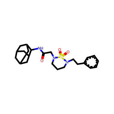 O=C(CN1CCCN(CCc2ccccc2)S1(=O)=O)NC1C2CC3CC(C2)CC1C3